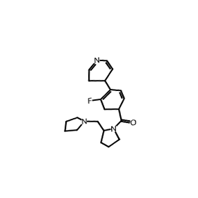 O=C(C1C=CC(C2C=CN=CC2)=C(F)C1)N1CCCC1CN1CCCC1